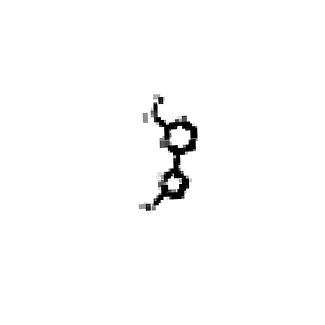 CCNc1nccc(-c2ccc(C(C)(C)C)s2)n1